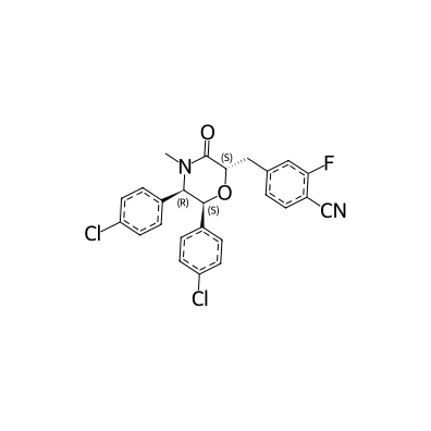 CN1C(=O)[C@H](Cc2ccc(C#N)c(F)c2)O[C@@H](c2ccc(Cl)cc2)[C@H]1c1ccc(Cl)cc1